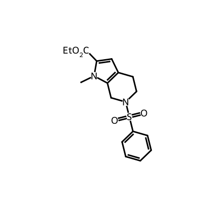 CCOC(=O)c1cc2c(n1C)CN(S(=O)(=O)c1ccccc1)CC2